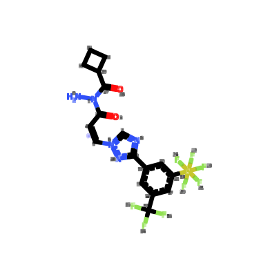 NN(C(=O)/C=C\n1cnc(-c2cc(C(F)(F)F)cc(S(F)(F)(F)(F)F)c2)n1)C(=O)C1CCC1